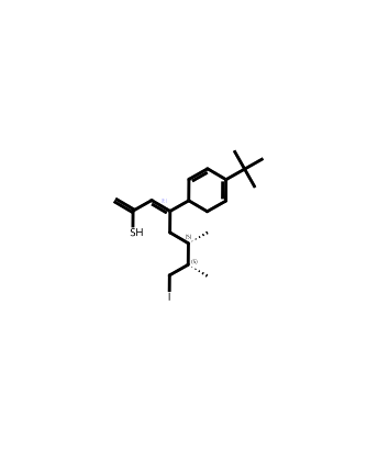 C=C(S)/C=C(\C[C@H](C)[C@H](C)CI)C1C=CC(C(C)(C)C)=CC1